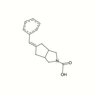 O=C(O)N1CC2CC(=Cc3ccccc3)CC2C1